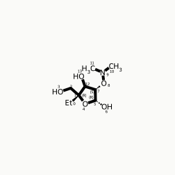 CC[C@]1(CO)O[C@@H](O)[C@@H](ON(C)C)C1O